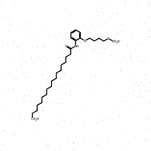 O=C(O)CCCCCCCCCCCCCCCCC(=O)Nc1ccccc1OCCCCSS(=O)(=O)O